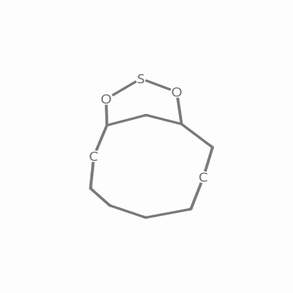 C1CCCC2CC(CCC1)OSO2